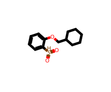 O=[SH](=O)c1ccccc1OCC1CCCCC1